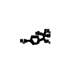 Bc1ccc(C(C)C(C)(CC)CCCC)cc1